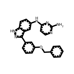 Nc1nccc(Nc2ccc3[nH]nc(-c4cccc(OCc5ccccc5)c4)c3c2)n1